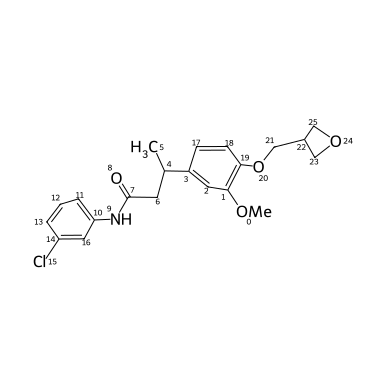 COc1cc(C(C)CC(=O)Nc2cccc(Cl)c2)ccc1OCC1COC1